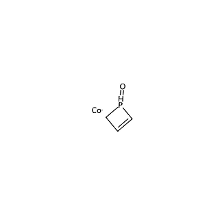 O=[PH]1C=CC1.[Co]